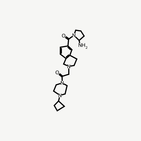 NC1CCCN1C(=O)c1ccc2c(c1)CCN(CC(=O)N1CCN(C3CCC3)CC1)C2